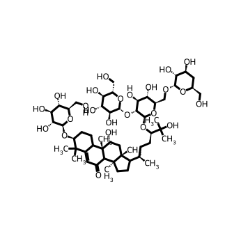 C[C@H](CC[C@@H](O[C@@H]1O[C@H](CO[C@H]2O[C@H](CO)C[C@H](O)[C@H]2O)[C@@H](O)[C@H](O)[C@H]1O[C@H]1O[C@@H](CO)[C@H](O)[C@@H](O)[C@@H]1O)C(C)(C)O)C1CC[C@@]2(C)C3C(=O)C=C4C(CC[C@H](O[C@@H]5O[C@H](CO)[C@@H](O)[C@H](O)[C@H]5O)C4(C)C)[C@]3(C)[C@H](O)C[C@]12C